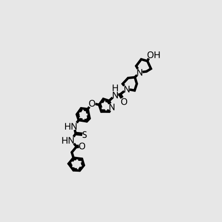 O=C(Cc1ccccc1)NC(=S)Nc1ccc(Oc2ccnc(NC(=O)N3CCC(N4CCC(O)CC4)CC3)c2)cc1